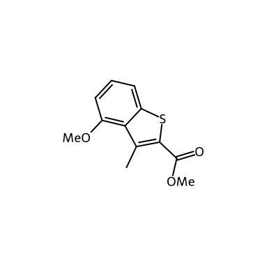 COC(=O)c1sc2cccc(OC)c2c1C